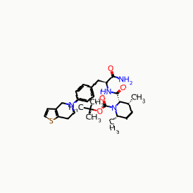 C[C@@H]1CC[C@H](C)N(C(=O)OC(C)(C)C)[C@@H]1C(=O)N[C@@H](Cc1ccc(N2CCc3sccc3C2)cc1)C(N)=O